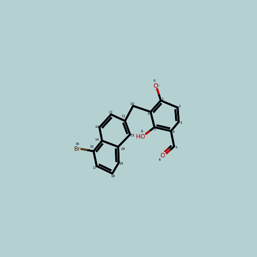 [O]c1ccc(C=O)c(O)c1Cc1ccc2c(Br)cccc2c1